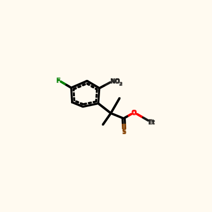 CCOC(=S)C(C)(C)c1ccc(F)cc1[N+](=O)[O-]